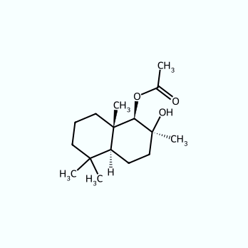 CC(=O)O[C@@H]1[C@@]2(C)CCCC(C)(C)[C@@H]2CC[C@]1(C)O